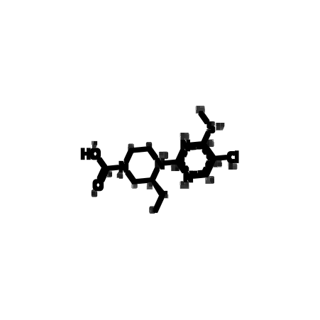 CC[C@H]1CN(C(=O)O)CCN1c1ncc(Cl)c(SC)n1